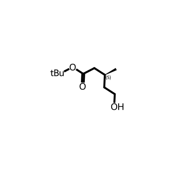 C[C@@H](CCO)CC(=O)OC(C)(C)C